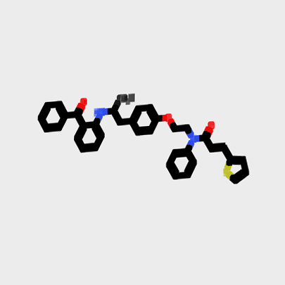 O=C(c1ccccc1)c1ccccc1NC(Cc1ccc(OCCN(C(=O)C=Cc2cccs2)c2ccccc2)cc1)C(=O)O